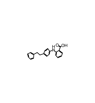 O=C(O)c1ccccc1Nc1ccc(CCc2ccccc2)cc1